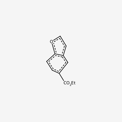 CCOC(=O)c1ccc2occc2c1